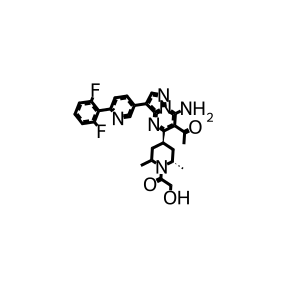 CC(=O)c1c([C@@H]2CC(C)N(C(=O)CO)[C@@H](C)C2)nc2c(-c3ccc(-c4c(F)cccc4F)nc3)cnn2c1N